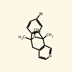 CN1C2(C)Cc3ccncc3C1(C)c1cc(Br)ccc12